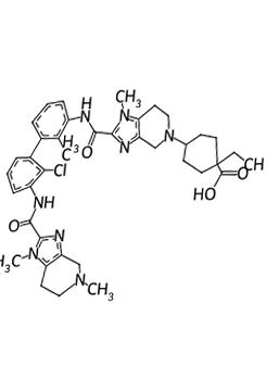 CCC1(C(=O)O)CCC(N2CCc3c(nc(C(=O)Nc4cccc(-c5cccc(NC(=O)c6nc7c(n6C)CCN(C)C7)c5Cl)c4C)n3C)C2)CC1